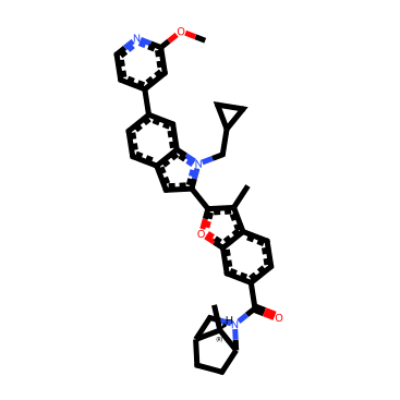 COc1cc(-c2ccc3cc(-c4oc5cc(C(=O)N6CC7CCC6[C@@H]7C)ccc5c4C)n(CC4CC4)c3c2)ccn1